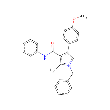 COc1ccc(-c2cn(Cc3ccccc3)c(C)c2C(=O)Nc2ccccc2)cc1